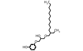 CCCCCCCCCCCC(CC)COCC(O)COc1cccc(O)c1